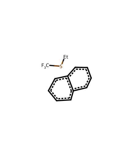 CCSC(F)(F)F.c1ccc2ccccc2c1